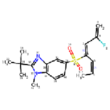 C=C(F)/C=C(\C=C/C)S(=O)(=O)c1ccc2c(c1)nc(C(C)(C)C)n2C